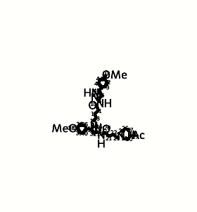 COc1ccc(-c2cc(NC(=O)CCCCn3nc(NC(=O)CCCN4CCCN(C(C)=O)CC4)cc3-c3ccc(OC)cc3)n[nH]2)cc1